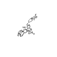 COc1ccc(Cn2c(C)nc3cnc(OC4CCN(CC(F)(F)F)CC4)c(C#N)c3c2=O)cc1